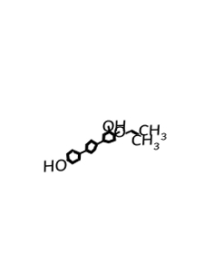 CC(C)=CCOc1ccc(-c2ccc(-c3ccc(O)cc3)cc2)cc1O